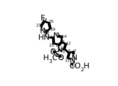 CS(=O)(=O)n1c(-c2cnn(C(=O)O)c2)cc2cnc(Nc3ccc(F)cn3)cc21